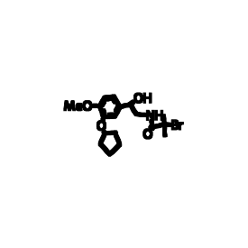 COc1ccc(C(O)CNC(=O)C(C)(C)Br)cc1OC1CCCC1